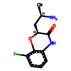 N#C[C@@H](N)C[C@@H]1Oc2c(F)cccc2NC1=O